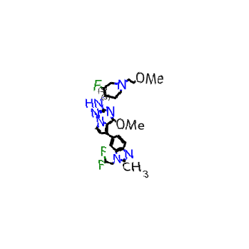 COCCN1CC[C@H](Nc2nc(OC)c3c(-c4ccc5nc(C)n(CC(F)F)c5c4)ccn3n2)[C@@H](F)C1